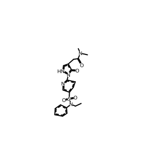 CCN(c1ccccc1)S(=O)(=O)c1ccc(-n2[nH]cc(CC(=O)N(C)C)c2=O)nc1